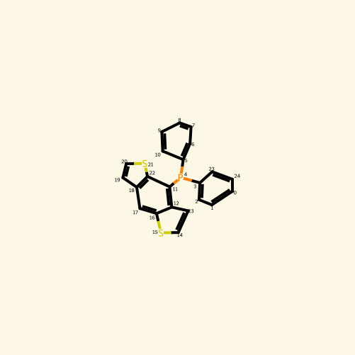 c1ccc(P(c2ccccc2)c2c3ccsc3cc3ccsc23)cc1